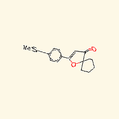 CSc1ccc(C2=CC(=O)C3(CCCC3)O2)cc1